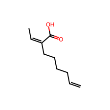 C=CCCCCC(=CC)C(=O)O